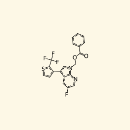 O=C(OCn1cc(-c2ccsc2C(F)(F)F)c2cc(F)cnc21)c1ccccc1